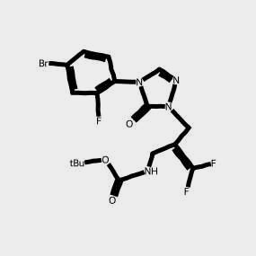 CC(C)(C)OC(=O)NCC(Cn1ncn(-c2ccc(Br)cc2F)c1=O)=C(F)F